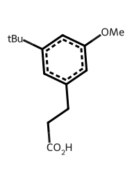 COc1cc(CCC(=O)O)cc(C(C)(C)C)c1